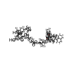 CCc1cccc2cccc(-c3ncc4c(N5CC6CCC(C5)N6C(=O)OC(C)(C)C)nc(OC[C@]56CCCN5[C@@H](COC(=O)N5CCN(c7cc([C@H](C(=O)N8C[C@H](O)C[C@H]8C(=O)N[C@@H](C)c8ccc(-c9scnc9C)cc8)C(C)C)on7)CC5)CC6)nc4c3F)c12